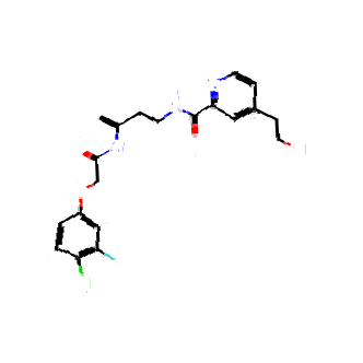 C=C(CCNC(=O)c1cc(CCO)ccn1)NC(=O)COc1ccc(Cl)c(F)c1